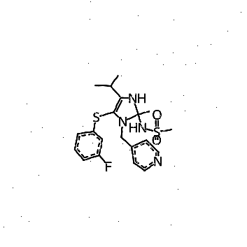 CC(C)C1=C(Sc2cccc(F)c2)N(Cc2ccncc2)C(C)(NS(C)(=O)=O)N1